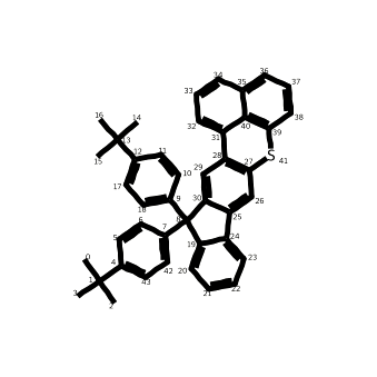 CC(C)(C)c1ccc(C2(c3ccc(C(C)(C)C)cc3)c3ccccc3-c3cc4c(cc32)-c2cccc3cccc(c23)S4)cc1